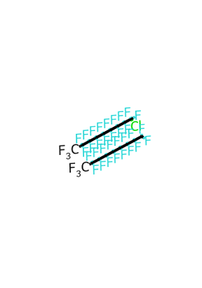 FC(F)(F)C(F)(F)C(F)(F)C(F)(F)C(F)(F)C(F)(F)C(F)(F)C(F)(F)C(F)(F)Cl.FC(F)C(F)(F)C(F)(F)C(F)(F)C(F)(F)C(F)(F)C(F)(F)C(F)(F)C(F)(F)F